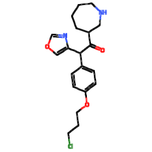 O=C(C1CCCCNC1)C(c1ccc(OCCCCl)cc1)c1cocn1